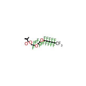 C=C(C)C(=O)OCC(F)(F)OC(F)(F)C(F)(F)OC(F)(F)C(F)(F)C(F)(F)C(F)(F)C(F)(F)C(F)(F)F